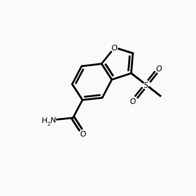 CS(=O)(=O)c1coc2ccc(C(N)=O)cc12